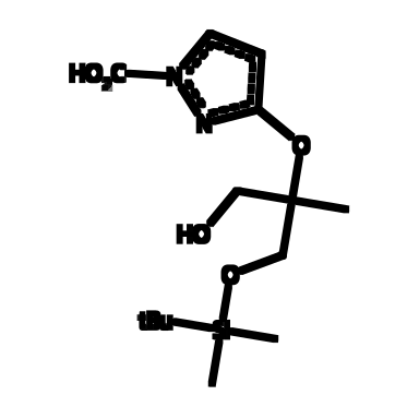 CC(CO)(CO[Si](C)(C)C(C)(C)C)Oc1ccn(C(=O)O)n1